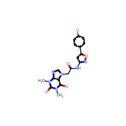 Cn1c(=O)c2c(ncn2CC(=O)Nc2cc(-c3ccc(Cl)cc3)on2)n(C)c1=O